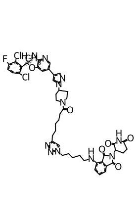 C[C@@H](Oc1cc(-c2cnn(C3CCN(C(=O)CCCCCc4cn(CCCCCNc5cccc6c5C(=O)N(C5CCC(=O)NC5=O)C6=O)nn4)CC3)c2)cnc1N)c1c(Cl)ccc(F)c1Cl